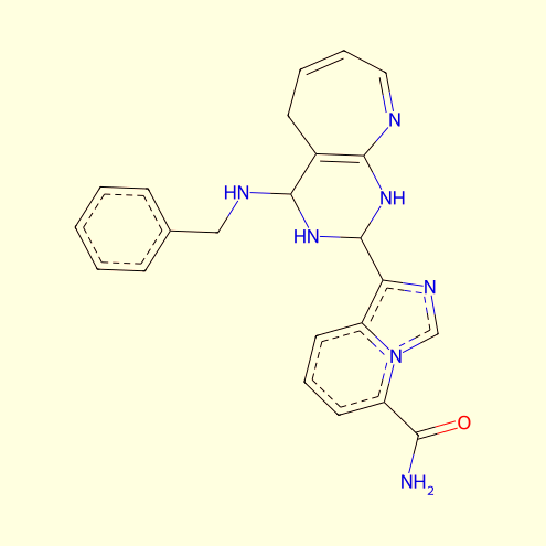 NC(=O)c1cccc2c(C3NC4=C(CC=CC=N4)C(NCc4ccccc4)N3)ncn12